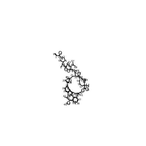 C=CC(=O)N1CC[C@@H](N(C)C(=O)N(C)[C@H](C(=O)N2CC2C2Cc3nc(cs3)-c3ccc4c(c3)c(c(-c3cccnc3[C@H](C)OC)n4CC)CC(C)(C)COC(=O)[C@@H]3CCCN(C2=O)[N+]2=CC32)C(C)C)C1